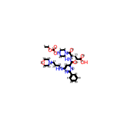 CCOC(=O)ON1CCN(C(=O)[C@H](CCC(=O)O)NC(=O)c2cc(NCCCN3CCOCC3)nc(-c3ccccc3)n2)CC1